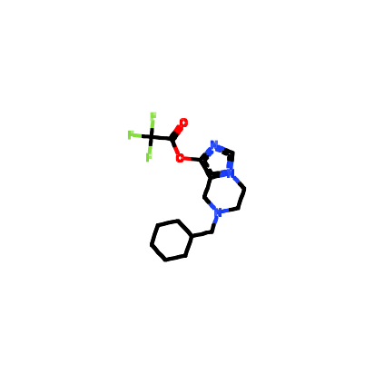 O=C(Oc1ncn2c1CN(CC1CCCCC1)CC2)C(F)(F)F